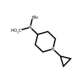 CC(C)(C)N(C(=O)O)C1CCN(C2CC2)CC1